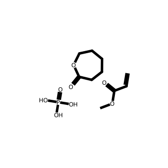 C=CC(=O)OC.O=C1CCCCCO1.O=P(O)(O)O